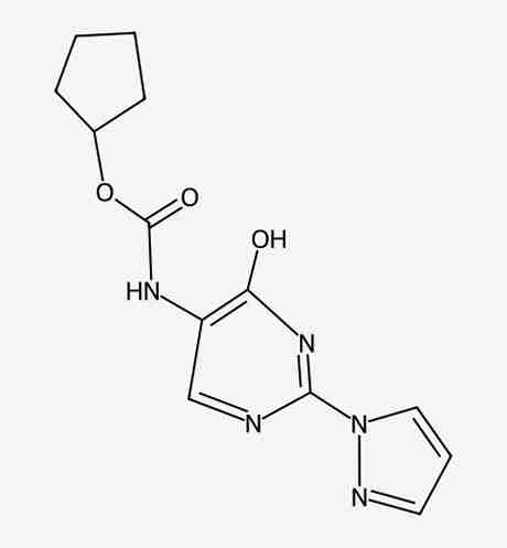 O=C(Nc1cnc(-n2cccn2)nc1O)OC1CCCC1